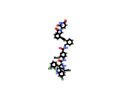 COc1cc(C(=O)NC[C@@H]2CCCC[C@@H]2C#Cc2cccc3c2CN(C2CCC(=O)NC2=O)C3=O)ccc1NC(=O)[C@@H]1N[C@@H](CC(C)(C)C)[C@@]2(CNc3cc(Cl)ccc32)[C@H]1c1cccc(Cl)c1F